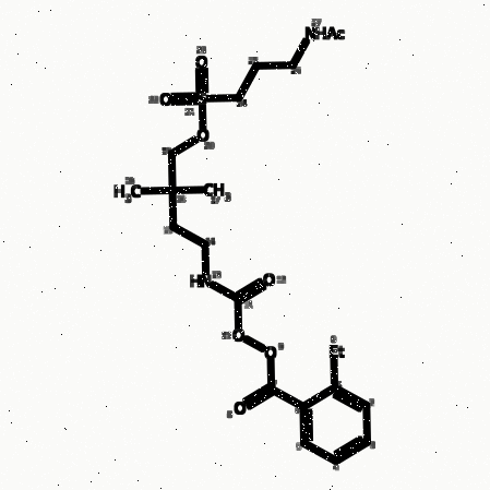 CCc1ccccc1C(=O)OOC(=O)NCCC(C)(C)COS(=O)(=O)CCCNC(C)=O